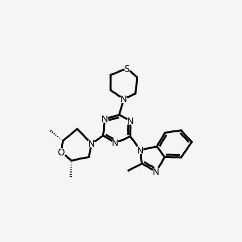 Cc1nc2ccccc2n1-c1nc(N2CCSCC2)nc(N2C[C@@H](C)O[C@@H](C)C2)n1